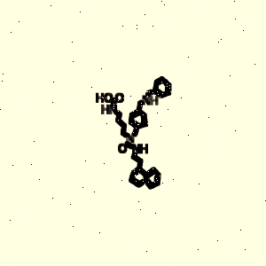 O=C(O)NCCCCN(Cc1ccc(CNCc2ccccc2)cc1)C(=O)NCCc1cccc2ccccc12